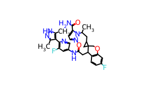 Cc1n[nH]c(C)c1-c1ncc(NC(=O)CC2c3ccc(F)cc3OCC23CC3CC(C)n2nccc2C(N)=O)cc1F